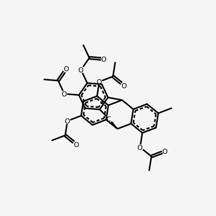 CC(=O)Oc1cc(OC(C)=O)c2c(c1)C1Cc3cc(OC(C)=O)c(OC(C)=O)cc3C2c2cc(C)cc(OC(C)=O)c21